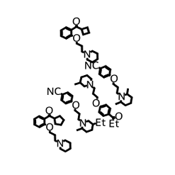 CC1CCCC(C)N1CCCOc1ccc(C#N)cc1.CCC(=O)c1ccc(OCCCN2CCCC(C)C2)cc1.CCC1CCC(C)N(CCCOc2ccc(C#N)cc2)C1.O=C(c1ccccc1OCCCN1CCCCC1)C1CCC1.O=C(c1ccccc1OCCCN1CCCCC1)C1CCCC1